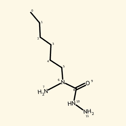 CCCCCCN(N)C(=O)NN